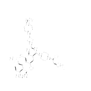 C=CC(=O)N1CCN(c2nc(N3CC(N4CCN(CCC)CC4)C3)nc3c(F)c(-c4c(C)ccc5[nH]ncc45)c(Cl)cc23)CC1